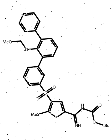 COCOc1c(-c2ccccc2)cccc1-c1cccc(S(=O)(=O)c2cc(C(=N)NC(=O)OC(C)(C)C)sc2SC)c1